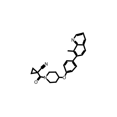 Cc1c(-c2ccc(OC3CCN(C(=O)C4(C#N)CC4)CC3)cc2)ccc2cccnc12